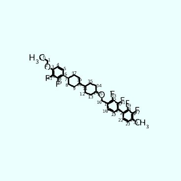 CCOc1ccc(C2CCC(C3CCC(OCc4ccc(-c5ccc(C)c(F)c5F)c(F)c4F)CC3)CC2)c(F)c1F